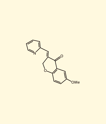 COc1ccc2c(c1)C(=O)C(=Cc1ccccn1)CO2